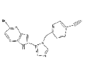 N#Cc1ccc(Cn2cncc2-c2cc3cc(Br)ccc3[nH]2)cc1